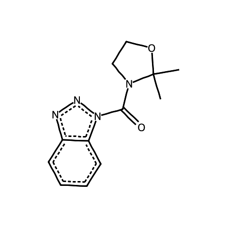 CC1(C)OCCN1C(=O)n1nnc2ccccc21